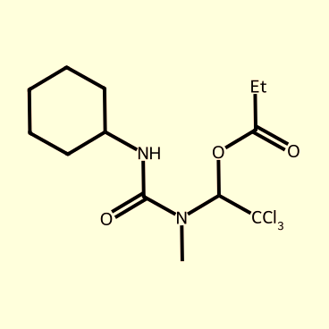 CCC(=O)OC(N(C)C(=O)NC1CCCCC1)C(Cl)(Cl)Cl